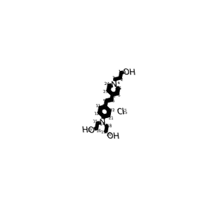 OCCC[n+]1ccc(/C=C/c2ccc(N(CCO)CCO)cc2)cc1.[Cl-]